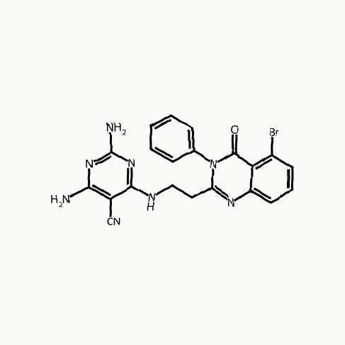 N#Cc1c(N)nc(N)nc1NCCc1nc2cccc(Br)c2c(=O)n1-c1ccccc1